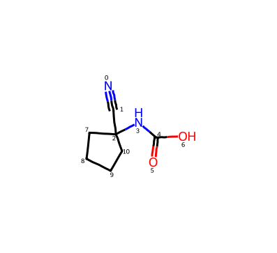 N#CC1(NC(=O)O)CCCC1